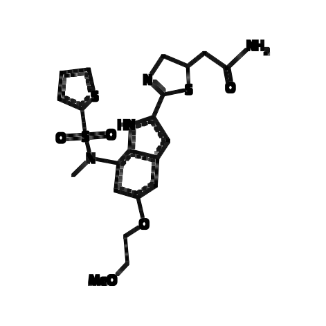 COCCOc1cc(N(C)S(=O)(=O)c2cccs2)c2[nH]c(C3=NCC(CC(N)=O)S3)cc2c1